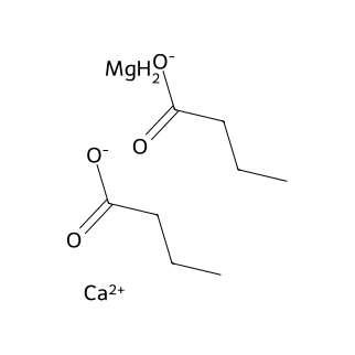 CCCC(=O)[O-].CCCC(=O)[O-].[Ca+2].[MgH2]